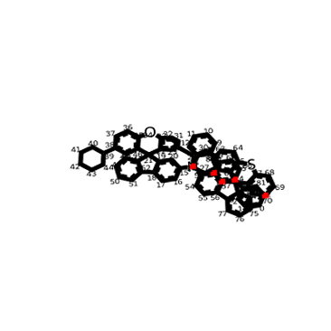 c1ccc(-c2ccc(-c3ccccc3N(c3ccc4c(c3)C3(c5cc(C6CCCCC6)ccc5Oc5ccc(C6CCCCC6)cc53)c3ccccc3-4)c3ccc4c(c3)C3(c5ccccc5Sc5ccccc53)c3ccccc3-4)cc2)cc1